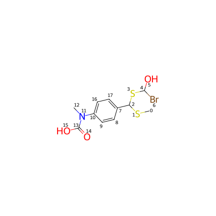 CSC(SC(O)Br)c1ccc(N(C)C(=O)O)cc1